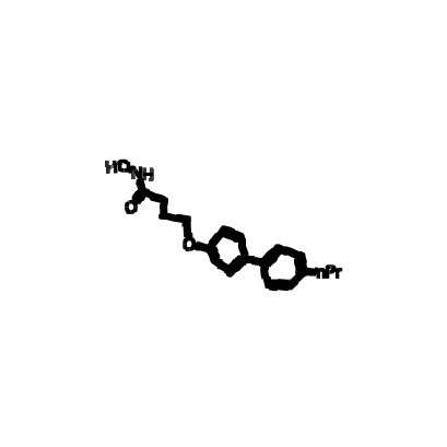 CCCc1ccc(-c2ccc(OCCCC(=O)NO)cc2)cc1